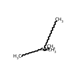 CCCCCCCCCCCCCCCCCCCC1N(CCCCCCCCCCCCCCC)C=CN1C(C)C